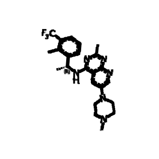 Cc1nc(N[C@H](C)c2cccc(C(F)(F)F)c2C)c2cc(N3CCN(C)CC3)cnc2n1